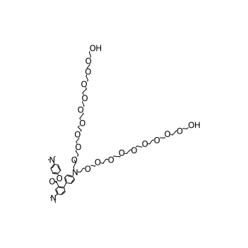 CN(C)c1ccc(OC(=O)c2cc(N(C)C)ccc2-c2ccc(N(CCOCCOCCOCCOCCOCCOCCOCCOCCOCCO)CCOCCOCCOCCOCCOCCOCCOCCOCCOCCO)cc2)cc1